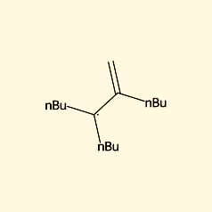 C=C(CCCC)[C](CCCC)CCCC